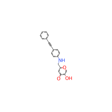 O=c1cc(CNc2ccc(C#Cc3ccccc3)cc2)occ1O